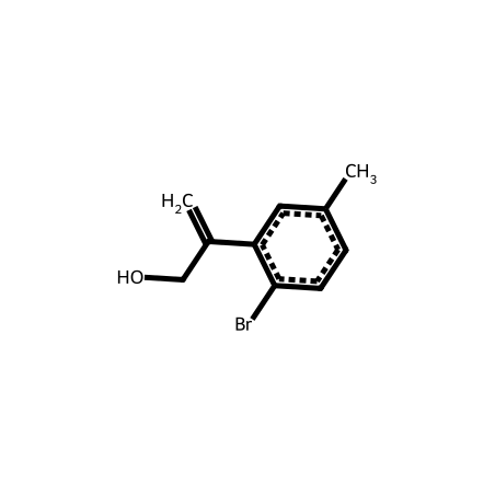 C=C(CO)c1cc(C)ccc1Br